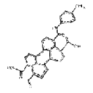 Cc1ccc(NC(=O)c2ccc3c4ccc(C(=O)O)c5c(C=O)ccc(c6ccc(C(=O)O)c2c63)c54)cc1